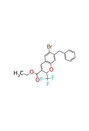 CCOC(=O)C1=Cc2cc(Br)c(Cc3ccccc3)cc2OC1C(F)(F)F